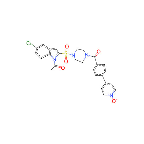 CC(=O)n1c(S(=O)(=O)N2CCN(C(=O)c3ccc(-c4cc[n+]([O-])cc4)cc3)CC2)cc2cc(Cl)ccc21